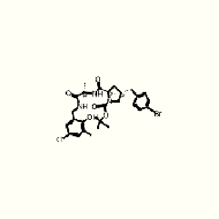 Cc1cc(Cl)cc(CNC(=O)[C@H](C)NC(=O)[C@H]2C[C@H](Cc3ccc(Br)cc3)CN2C(=O)OC(C)(C)C)c1O